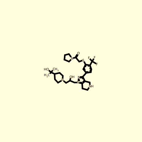 CC(C)(O)C1CCN(CC(O)Cn2nc(-c3ccc(C(F)(F)F)c(SCC(=O)N4CCCC4)c3)c3c2CCNC3)CC1